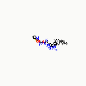 COc1cc2ncc3c(N)nc(-c4cncc(OC[C@@H](N)COc5nc6ccccc6s5)c4)cc3c2cc1OC